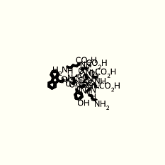 NCCCC[C@H](NC(=O)[C@H](CC(=O)O)NC(=O)[C@H](CC(=O)O)NC(=O)[C@H](CC(=O)O)NC(=O)[C@H](CC(=O)O)NC(=O)[C@H](CCCCN)NC(=O)[C@H](Cc1ccc(O)cc1)NC(=O)[C@H](CC(=O)O)NC(=O)OCC1c2ccccc2-c2ccccc21)C(=O)O